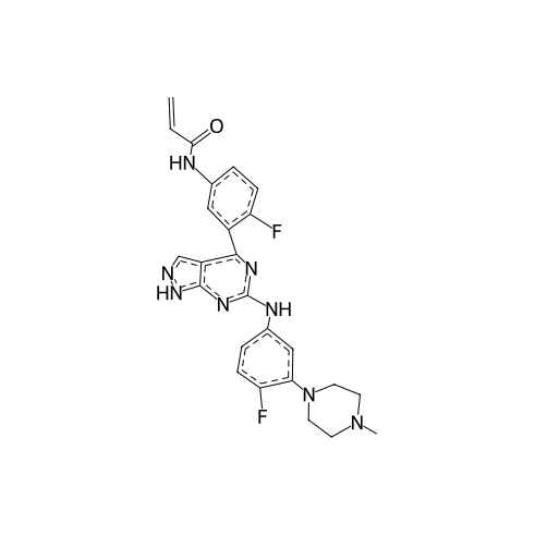 C=CC(=O)Nc1ccc(F)c(-c2nc(Nc3ccc(F)c(N4CCN(C)CC4)c3)nc3[nH]ncc23)c1